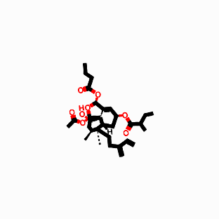 C=CC(=C)CC[C@]1(C)[C@H]2C[C@H](OC(=O)C(C)CC)C=C3[C@H](OC(=O)CCC)O[C@H](OC(C)=O)[C@@]32[C@H](O)C[C@@H]1C